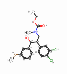 CCOC(=O)N(C)CC(c1ccc(Cl)c(Cl)c1)C(O)c1cccc(SC)c1